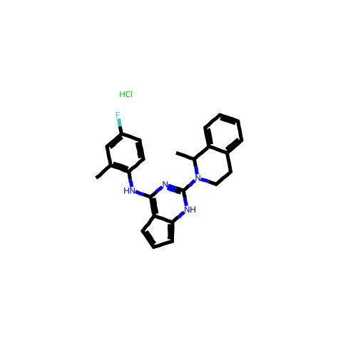 Cc1cc(F)ccc1Nc1nc(N2CCc3ccccc3C2C)[nH]c2cccc1-2.Cl